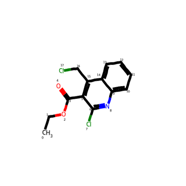 CCOC(=O)c1c(Cl)nc2ccccc2c1CCl